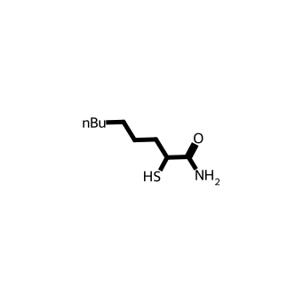 CCCCCCCC(S)C(N)=O